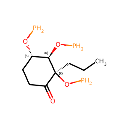 CCC[C@]1(OP)C(=O)CC[C@H](OP)[C@H]1OP